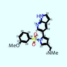 CNCc1cc(-c2cnc3[nH]ccc3c2)n(S(=O)(=O)c2cccc(OC)c2)c1